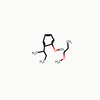 CCC(C)c1ccccc1OC.CCCOC